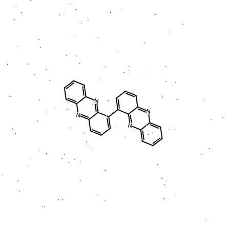 c1ccc2nc3c(-c4cccc5nc6ccccc6nc45)cccc3nc2c1